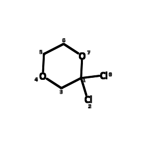 ClC1(Cl)COCCO1